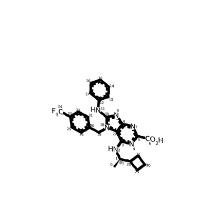 C[C@@H](Nc1nc(C(=O)O)nc2nc(Nc3ccccc3)n(Cc3ccc(C(F)(F)F)cc3)c12)C1CCC1